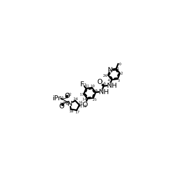 Cc1ccc(NC(=O)Nc2cc(F)cc(O[C@@H]3CCN(S(=O)(=O)C(C)C)C3)c2)cn1